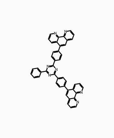 c1ccc(-c2nc(-c3ccc(-c4cc5cccnc5c5ncccc45)cc3)nc(-c3ccc(-c4cc5cccnc5c5ncccc45)cc3)n2)cc1